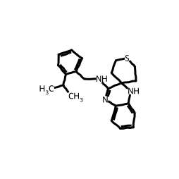 CC(C)c1ccccc1CNC1=Nc2ccccc2NC12CCSCC2